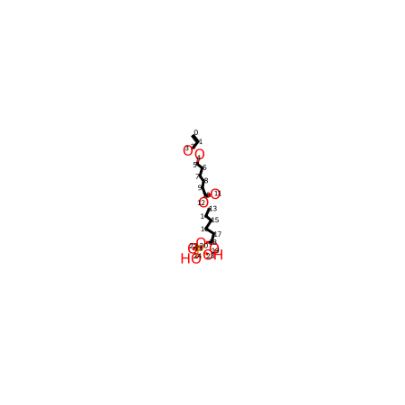 C=CC(=O)OCCCCCC(=O)OCCCCCC(=O)OP(=O)(O)O